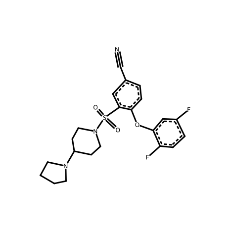 N#Cc1ccc(Oc2cc(F)ccc2F)c(S(=O)(=O)N2CCC(N3CCCC3)CC2)c1